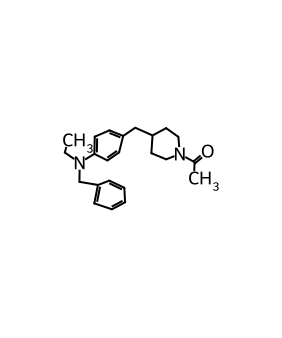 CCN(Cc1ccccc1)c1ccc(CC2CCN(C(C)=O)CC2)cc1